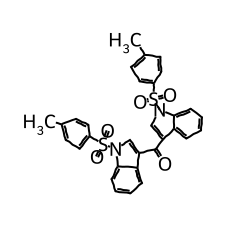 Cc1ccc(S(=O)(=O)n2cc(C(=O)c3cn(S(=O)(=O)c4ccc(C)cc4)c4ccccc34)c3ccccc32)cc1